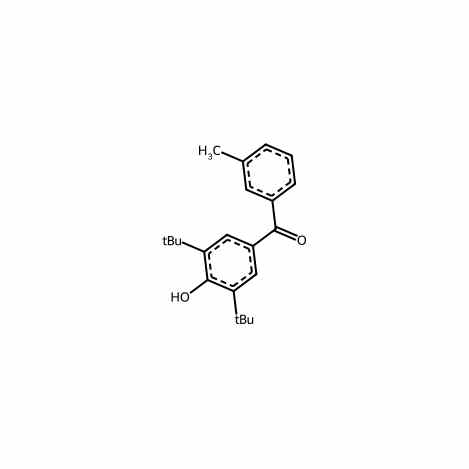 Cc1cccc(C(=O)c2cc(C(C)(C)C)c(O)c(C(C)(C)C)c2)c1